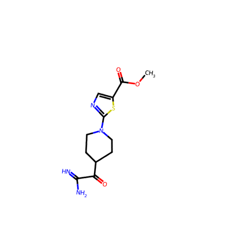 COC(=O)c1cnc(N2CCC(C(=O)C(=N)N)CC2)s1